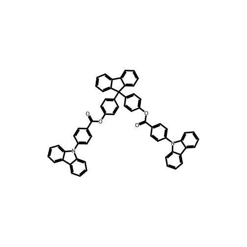 O=C(Oc1ccc(C2(c3ccc(OC(=O)c4ccc(-n5c6ccccc6c6ccccc65)cc4)cc3)c3ccccc3-c3ccccc32)cc1)c1ccc(-n2c3ccccc3c3ccccc32)cc1